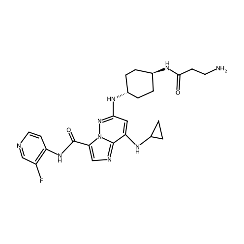 NCCC(=O)N[C@H]1CC[C@H](Nc2cc(NC3CC3)c3ncc(C(=O)Nc4ccncc4F)n3n2)CC1